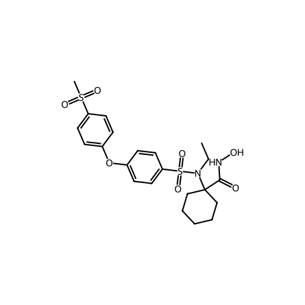 CCN(C1(C(=O)NO)CCCCC1)S(=O)(=O)c1ccc(Oc2ccc(S(C)(=O)=O)cc2)cc1